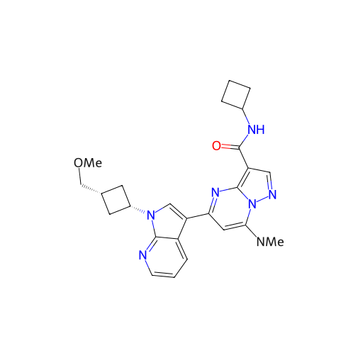 CNc1cc(-c2cn([C@H]3C[C@@H](COC)C3)c3ncccc23)nc2c(C(=O)NC3CCC3)cnn12